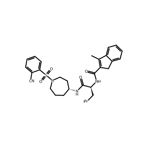 CC1=C(C(=O)N[C@@H](CC(C)C)C(=O)N[C@@H]2CCCN(S(=O)(=O)c3ccccc3C#N)CC2)Cc2ccccc21